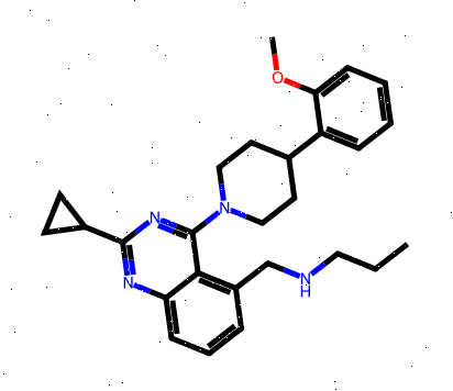 CCCNCc1cccc2nc(C3CC3)nc(N3CCC(c4ccccc4OC)CC3)c12